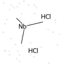 Cl.Cl.[CH3][Nb]([CH3])[CH3]